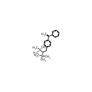 C=C(c1ccccc1)c1ccc(CN([Si](C)(C)C)[Si](C)(C)C)cc1